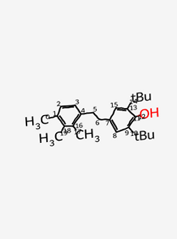 Cc1ccc(CCc2cc(C(C)(C)C)c(O)c(C(C)(C)C)c2)c(C)c1C